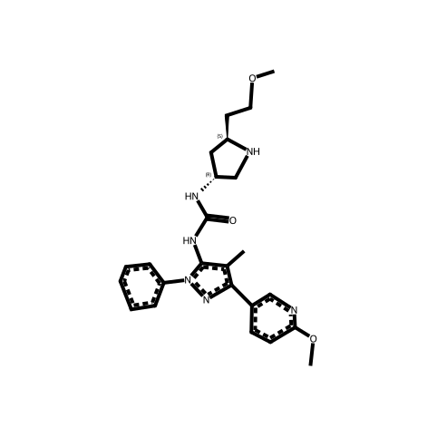 COCC[C@@H]1C[C@@H](NC(=O)Nc2c(C)c(-c3ccc(OC)nc3)nn2-c2ccccc2)CN1